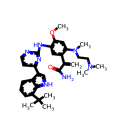 C=C(C(N)=O)c1cc(Nc2nccc(-c3c[nH]c4c(C(C)(C)C)cccc34)n2)c(OC)cc1N(C)CCN(C)C